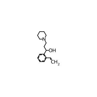 C=Cc1ccccc1C(O)CCN1CCCCC1